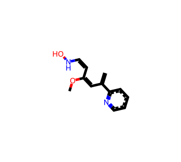 C=C(/C=C(\C=C/NO)OC)c1ccccn1